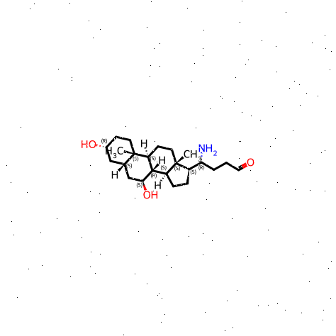 C[C@]12CC[C@@H](O)C[C@H]1C[C@H](O)[C@@H]1[C@@H]2CC[C@]2(C)[C@@H]([C@H](N)CCC=O)CC[C@@H]12